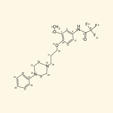 COc1cc(NC(=O)C(F)(F)F)ccc1OCCCN1CCN(c2ccccc2)CC1